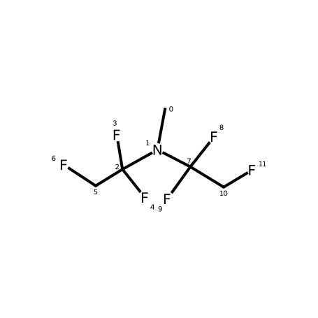 CN(C(F)(F)CF)C(F)(F)CF